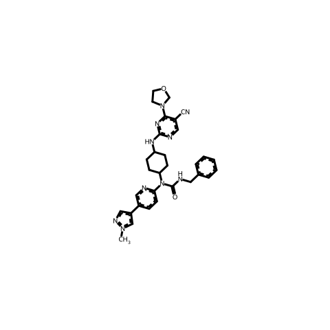 Cn1cc(-c2ccc(N(C(=O)NCc3ccccc3)C3CCC(Nc4ncc(C#N)c(N5CCOC5)n4)CC3)nc2)cn1